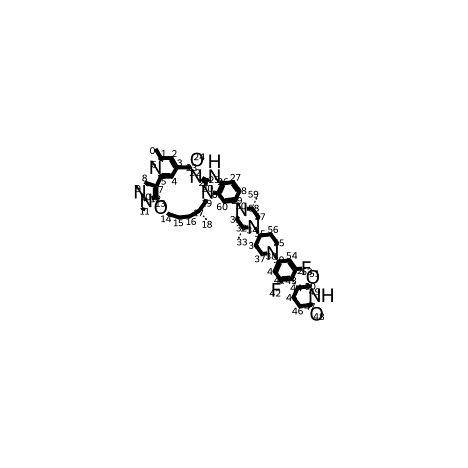 Cc1cc2cc(n1)-c1cnn(C)c1OCCC[C@@H](C)CN1/C(=N/C2=O)Nc2ccc(N3C[C@@H](C)N(C4CCN(c5cc(F)c([C@H]6CCC(=O)NC6=O)c(F)c5)CC4)C[C@H]3C)cc21